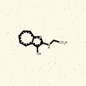 N#Cc1c2cccccc-2nc1NCC(=O)O